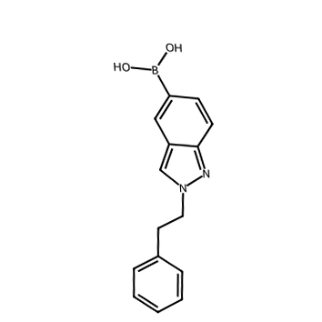 OB(O)c1ccc2nn(CCc3ccccc3)cc2c1